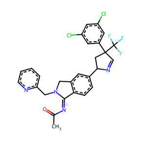 CC(=O)/N=C1/c2ccc(C3CC(c4cc(Cl)cc(Cl)c4)(C(F)(F)F)C=N3)cc2CN1Cc1ccccn1